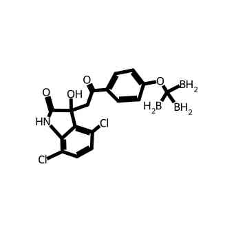 BC(B)(B)Oc1ccc(C(=O)CC2(O)C(=O)Nc3c(Cl)ccc(Cl)c32)cc1